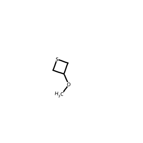 COC1CSC1